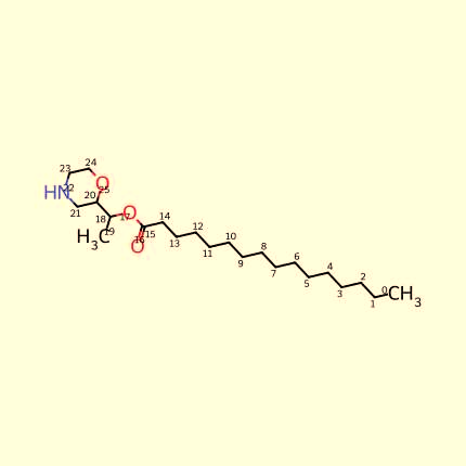 CCCCCCCCCCCCCCCC(=O)OC(C)C1CNCCO1